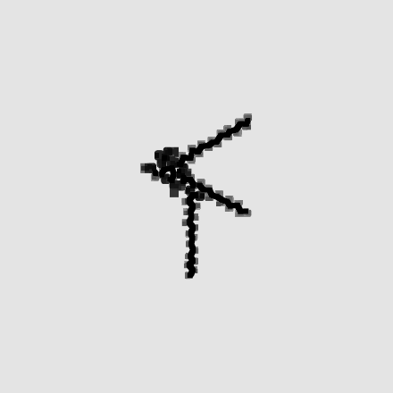 CCCCCCCCCCCCCCCC(=O)O[C@H](CCCCCCCCCCC)CC(=O)N[C@H]1C(O)O[C@H](CO)[C@@H](OS(=O)(=O)O)[C@@H]1OC(=O)CCCCCCCCCCCCCCC